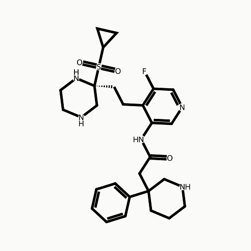 O=C(CC1(c2ccccc2)CCCNC1)Nc1cncc(F)c1CC[C@]1(S(=O)(=O)C2CC2)CNCCN1